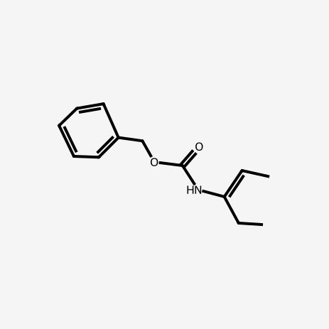 CC=C(CC)NC(=O)OCc1ccccc1